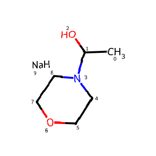 CC(O)N1CCOCC1.[NaH]